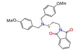 COc1ccc(CN(Cc2ccc(OC)cc2)SCCN2C(=O)c3ccccc3C2=O)cc1